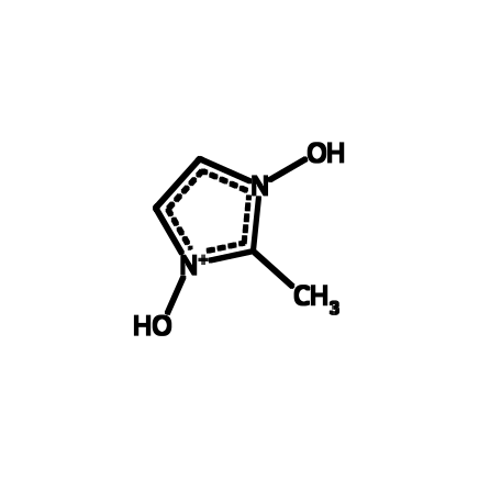 Cc1n(O)cc[n+]1O